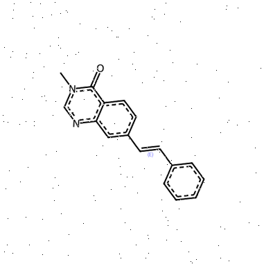 Cn1cnc2cc(/C=C/c3ccccc3)ccc2c1=O